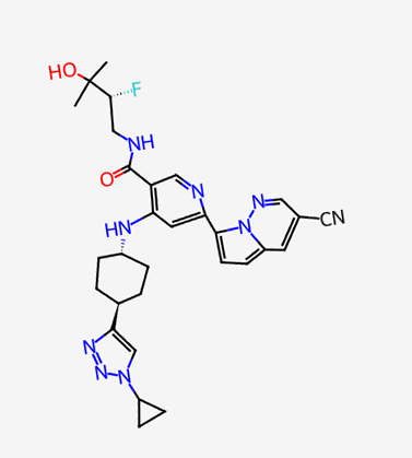 CC(C)(O)[C@H](F)CNC(=O)c1cnc(-c2ccc3cc(C#N)cnn23)cc1N[C@H]1CC[C@H](c2cn(C3CC3)nn2)CC1